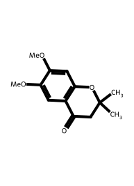 COc1cc2c(cc1OC)C(=O)CC(C)(C)O2